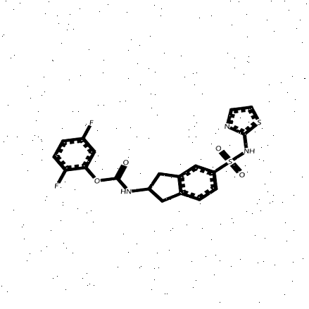 O=C(NC1Cc2ccc(S(=O)(=O)Nc3nccs3)cc2C1)Oc1cc(F)ccc1F